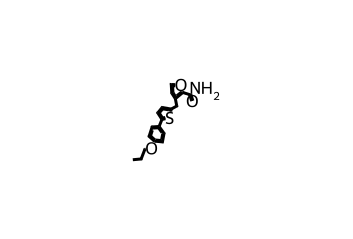 CCCOc1ccc(-c2ccc(Cc3ccoc3C(N)=O)s2)cc1